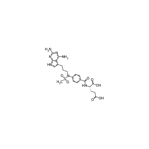 CS(=O)(=O)N(CCCc1c[nH]c2nc(N)nc(N)c12)c1ccc(C(=O)N[C@@H](CCC(=O)O)C(=O)O)cc1